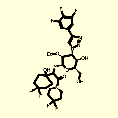 CCO[C@@H]1[C@@H](n2cc(-c3cc(F)c(F)c(F)c3)nn2)[C@@H](O)[C@@H](CO)O[C@H]1SC(C(=O)N1CCC(F)(F)CC1)C1(O)CCC(F)(F)CC1